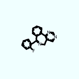 Fc1ccccc1C1=NCc2cncnc2-c2ccccc21